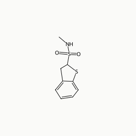 CNS(=O)(=O)C1Cc2ccccc2S1